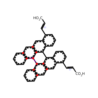 O=C(O)/C=C/c1cccc2c(-c3c(P(c4ccccc4)c4ccccc4)ccc4c(/C=C/C(=O)O)cccc34)c(P(c3ccccc3)c3ccccc3)ccc12